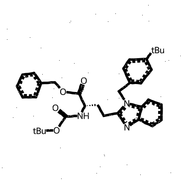 CC(C)(C)OC(=O)N[C@@H](CCc1nc2ccccc2n1Cc1ccc(C(C)(C)C)cc1)C(=O)OCc1ccccc1